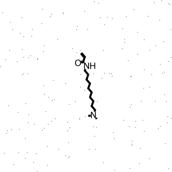 C=CC(=O)NCCCCCCCCCCN(C)C